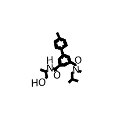 Cc1ccc(-c2cc(C(=O)NC(C)CO)cc(C(=O)N(C)CC(C)C)c2)cc1